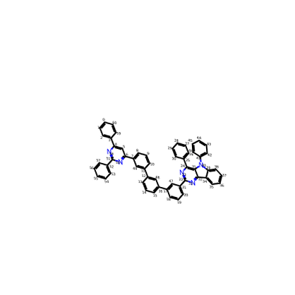 c1ccc(-c2cc(-c3cccc(-c4cccc(-c5cccc(-c6nc(-c7ccccc7)c7c(n6)c6ccccc6n7-c6ccccc6)c5)c4)c3)nc(-c3ccccc3)n2)cc1